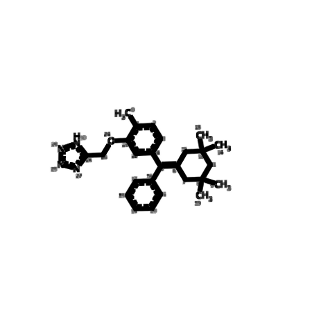 Cc1ccc(C(=C2CC(C)(C)CC(C)(C)C2)c2ccccc2)cc1OCc1nnn[nH]1